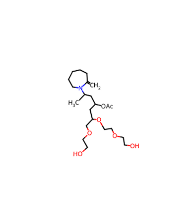 C=C1CCCCCN1C(C)CC(CC(COCCO)OCCOCCO)OC(C)=O